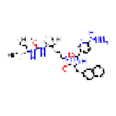 NNc1ccc(C(=O)NC(Cc2ccc3ccccc3c2)C(=O)NCCCCC(NC(=O)NC(CCC=O)C(=O)O)C(=O)O)cn1